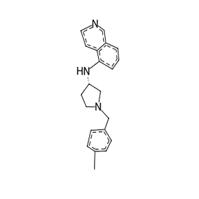 Cc1ccc(CN2CC[C@H](Nc3cccc4cnccc34)C2)cc1